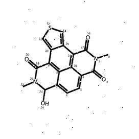 CN1C(=O)c2ccc3c4c(c5cscc5c(c24)C1=O)C(=O)N(C)C3O